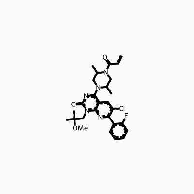 C=CC(=O)N1CC(C)N(c2nc(=O)n(CC(C)(C)OC)c3nc(-c4ccccc4F)c(Cl)cc23)CC1C